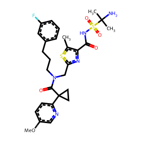 COc1ccc(C2(C(=O)N(CCCc3cccc(F)c3)Cc3nc(C(=O)NS(=O)(=O)C(C)(C)N)c(C)s3)CC2)nc1